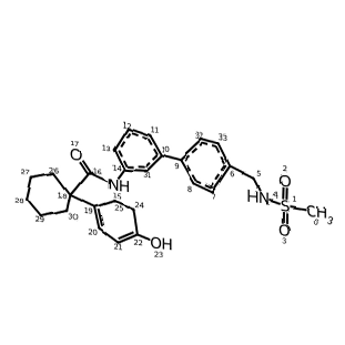 CS(=O)(=O)NCc1ccc(-c2cccc(NC(=O)C3(C4=CC=C(O)CC4)CCCCC3)c2)cc1